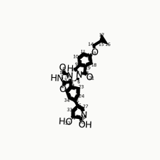 O=C1NC(=O)[C@](CN2Cc3ccc(OCC4CC4)cc3C2=O)(c2ccc(-c3cnc(O)c(O)c3)cc2)N1